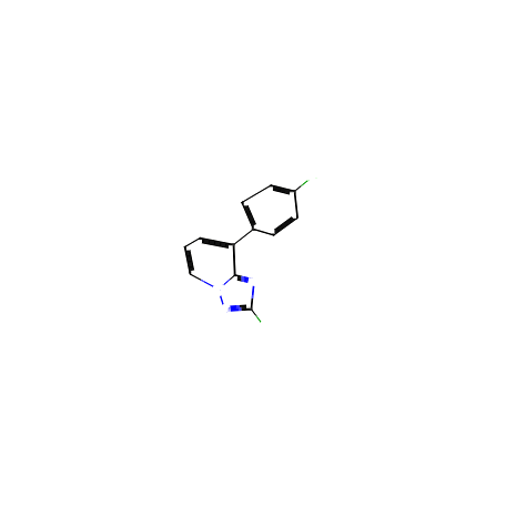 Clc1nc2c(-c3ccc(Br)cc3)cccn2n1